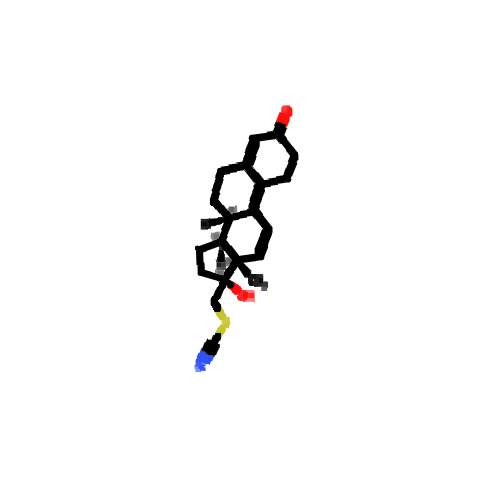 C[C@]12C=CC3=C4CCC(=O)C=C4CC[C@H]3[C@@H]1CC[C@@]2(O)CSC#N